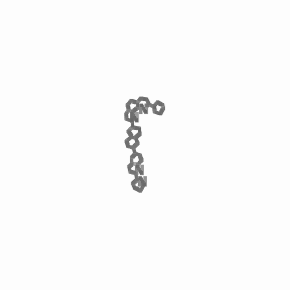 c1ccc(-c2ccc3ccc4ccc(-c5ccc6cc(-c7ccc8nc(-c9ccccn9)ccc8c7)ccc6c5)nc4c3n2)cc1